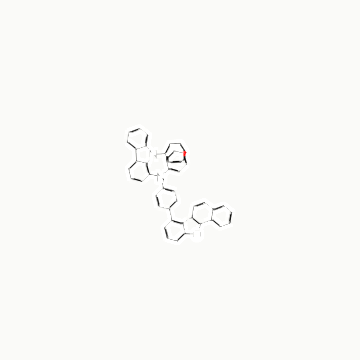 c1ccc(N(c2ccc(-c3cccc4oc5c6ccccc6ccc5c34)cc2)c2cccc3c4ccccc4n(-c4ccccc4)c23)cc1